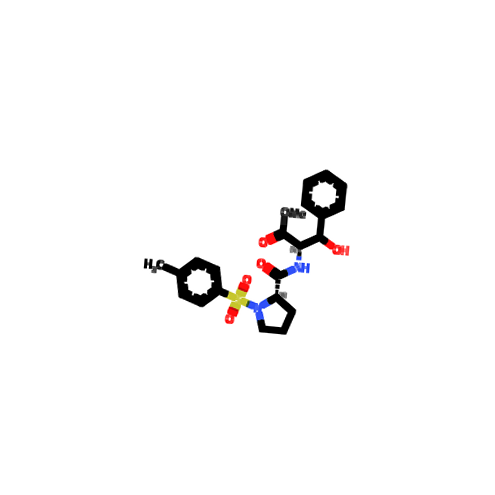 COC(=O)[C@@H](NC(=O)[C@@H]1CCCN1S(=O)(=O)c1ccc(C)cc1)C(O)c1ccccc1